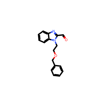 O=Cc1nc2ccccc2n1CCOCc1ccccc1